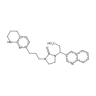 O=C(O)CC(c1cnc2ccccc2c1)N1CCN(CCCc2ccc3c(n2)NCCC3)C1=O